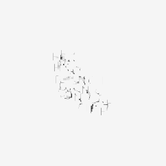 Cc1nc(N[C@H](C)c2cccc(C(F)F)c2F)c(C2OCCO2)c(C(Br)C(=O)NC2(C(F)(F)F)CC2)n1